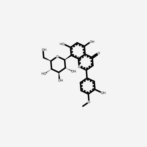 COc1ccc(-c2cc(=O)c3c(O)cc(O)c([C@@H]4O[C@H](CO)[C@@H](O)[C@H](O)[C@H]4O)c3o2)cc1O